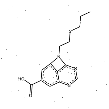 CCCSCCN1c2cc(C(=O)O)cc3ncnc1c23